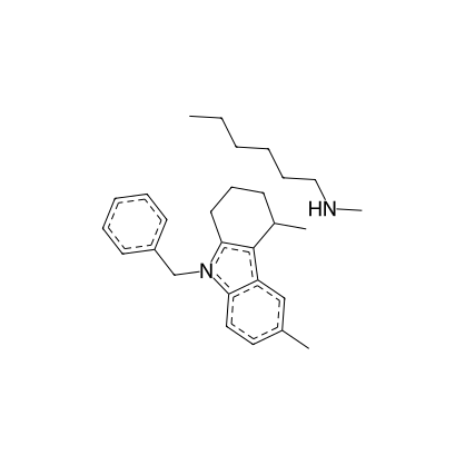 CCCCCCNC.Cc1ccc2c(c1)c1c(n2Cc2ccccc2)CCCC1C